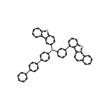 c1ccc(-c2ccc(-c3ccc(N(c4cccc(-c5cccc6oc7c8ccccc8ccc7c56)c4)c4ccc5oc6ccccc6c5c4)cc3)cc2)cc1